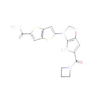 COC(=O)c1cc2sc(N3COc4cc(C(=O)N5CCC5)[nH]c43)cc2s1